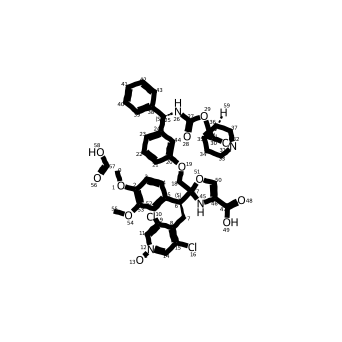 COc1ccc([C@H](Cc2c(Cl)c[n+]([O-])cc2Cl)C2(COc3cccc([C@@H](NC(=O)O[C@H]4CN5CCC4CC5)c4ccccc4)c3)NC(C(=O)O)=CO2)cc1OC.O=CO